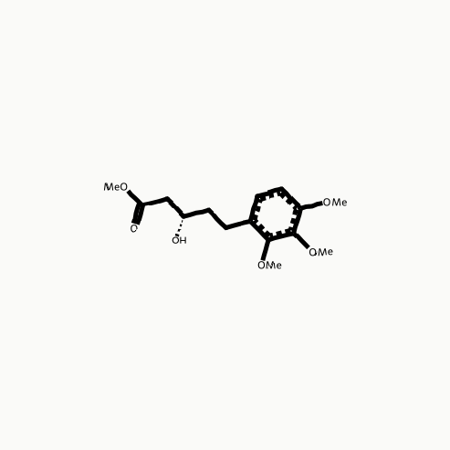 COC(=O)C[C@@H](O)CCc1ccc(OC)c(OC)c1OC